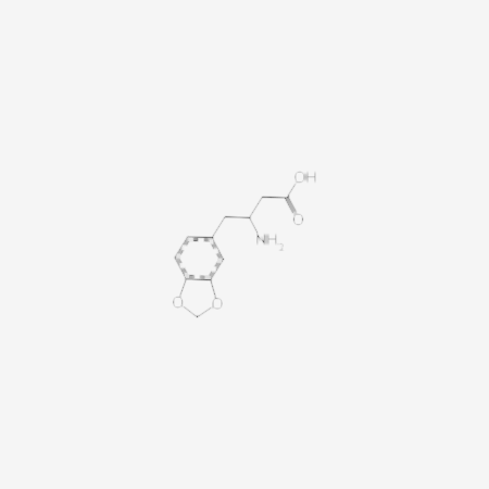 NC(CC(=O)O)Cc1ccc2c(c1)OCO2